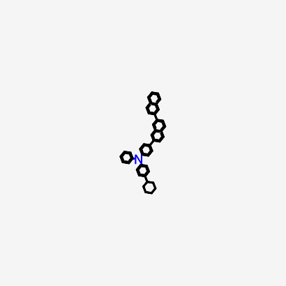 c1ccc(N(c2ccc(-c3ccc4ccc(-c5ccc6ccccc6c5)cc4c3)cc2)c2ccc(C3CCCCC3)cc2)cc1